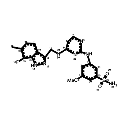 COc1cc(Nc2nccc(NCc3n[nH]c4c(F)c(C)ccc34)n2)cc(S(N)(=O)=O)c1